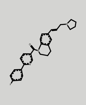 O=C(c1ccc(-c2ccc(F)cc2)nc1)N1CCCc2cc(C=CCN3CCCC3)ccc21